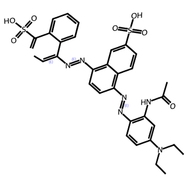 C=C(c1ccccc1C(=C\C)/N=N/c1ccc(/N=N/c2ccc(N(CC)CC)cc2NC(C)=O)c2ccc(S(=O)(=O)O)cc12)S(=O)(=O)O